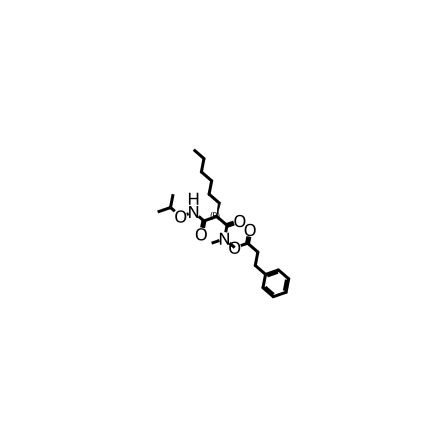 CCCCCC[C@H](C(=O)NOC(C)C)C(=O)N(C)OC(=O)CCc1ccccc1